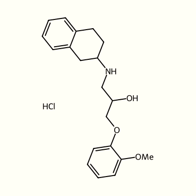 COc1ccccc1OCC(O)CNC1CCc2ccccc2C1.Cl